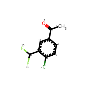 CC(=O)c1ccc(Cl)c(C(F)F)c1